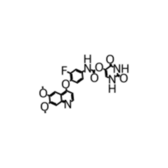 COc1cc2nccc(Oc3ccc(NC(=O)Oc4c[nH]c(=O)[nH]c4=O)cc3F)c2cc1OC